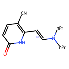 CCCN(/C=C/c1[nH]c(=O)ccc1C#N)CCC